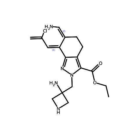 C=C(Cl)/C=C1\C(=C/N)CCc2c1nn(CC1(N)CNC1)c2C(=O)OCC